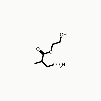 CC(CC(=O)O)C(=O)OCCO